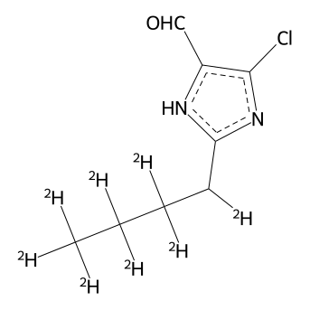 [2H]C(c1nc(Cl)c(C=O)[nH]1)C([2H])([2H])C([2H])([2H])C([2H])([2H])[2H]